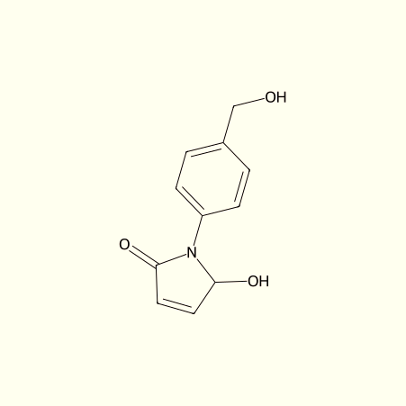 O=C1C=CC(O)N1c1ccc(CO)cc1